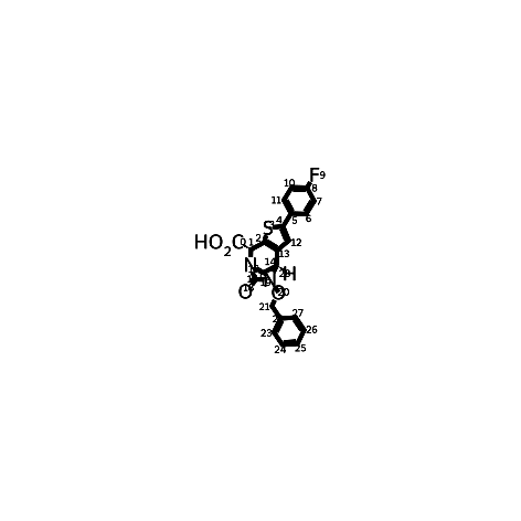 O=C(O)[C@@H]1c2sc(-c3ccc(F)cc3)cc2[C@@H]2CN1C(=O)N2OCc1ccccc1